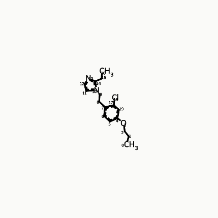 CCCOc1ccc(CCn2ccnc2CC)c(Cl)c1